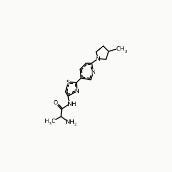 CC1CCN(c2ccc(-c3nc(NC(=O)C(C)N)cs3)cn2)C1